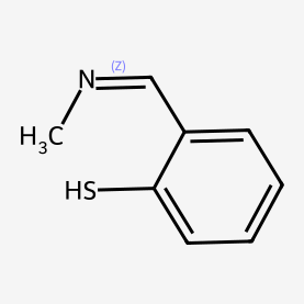 C/N=C\c1ccccc1S